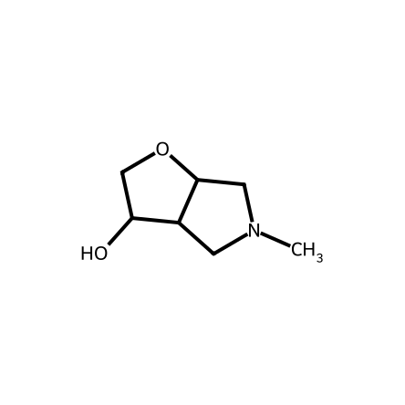 CN1CC2OCC(O)C2C1